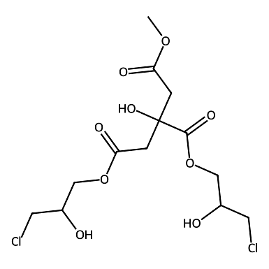 COC(=O)CC(O)(CC(=O)OCC(O)CCl)C(=O)OCC(O)CCl